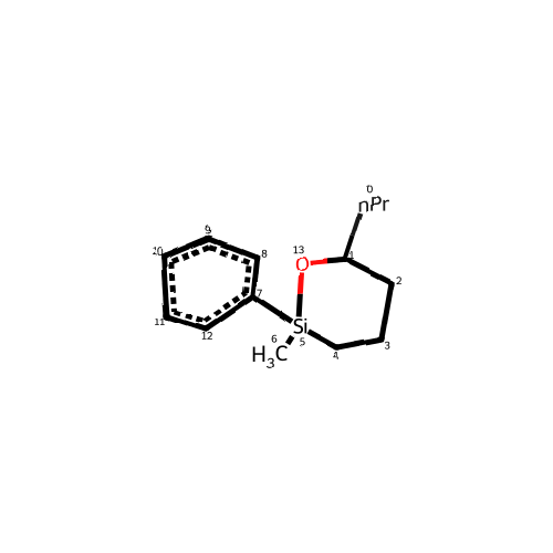 CCCC1CCC[Si](C)(c2ccccc2)O1